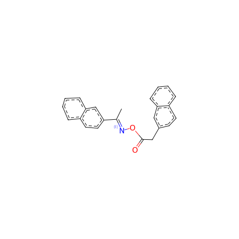 C/C(=N\OC(=O)Cc1ccc2ccccc2c1)c1ccc2ccccc2c1